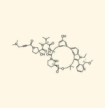 CCn1c(-c2cccnc2[C@H](C)OC)c2c3cc(ccc31)-c1cc(O)cc(c1)C[C@H](NC(=O)[C@H](C(C)C)N(C)C(=O)C1(O)CCN(C(=O)C#CCN(C)C)C1)C(=O)N1CCC[C@H](N1)C(=O)OCC(C)(C)C2